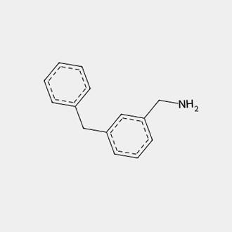 NCc1cccc(Cc2ccccc2)c1